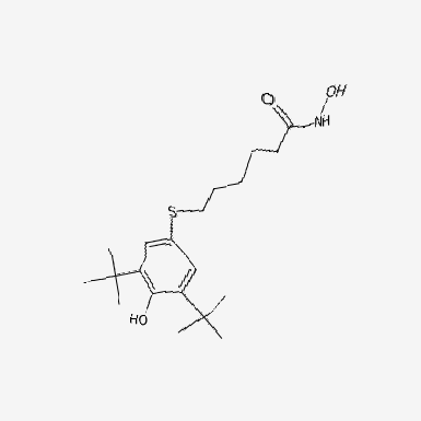 CC(C)(C)c1cc(SCCCCCC(=O)NO)cc(C(C)(C)C)c1O